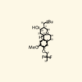 COc1cc2c(cc1OCC(C)(F)F)CCN1C[C@H](CC(C)(C)C)[C@@H](O)C[C@@H]21